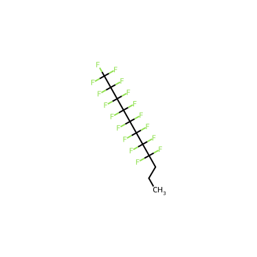 CCCC(F)(F)C(F)(F)C(F)(F)C(F)(F)C(F)(F)C(F)(F)C(F)(F)C(F)(F)F